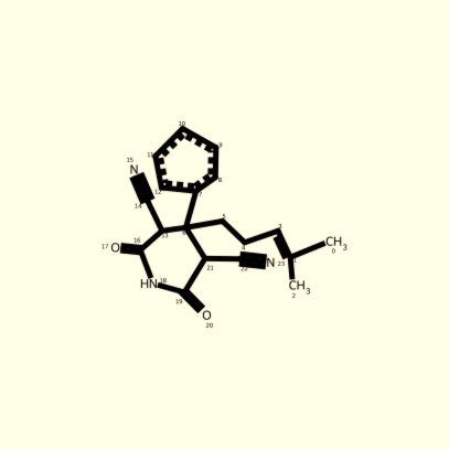 CC(C)=CCCC1(c2ccccc2)C(C#N)C(=O)NC(=O)C1C#N